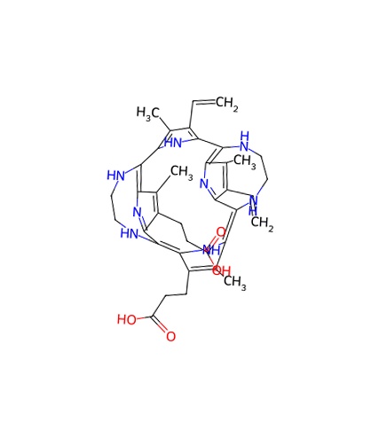 C=CC1=C(C)c2nc1c1c3[nH]c(c(CCC(=O)O)c3C)c3c4nc(c(c5[nH]c(c(C=C)c5C)c2NCCN1)NCCN3)C(C)=C4CCC(=O)O